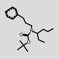 CCCC(CC)N(CCCc1ccccc1)C(=O)OC(C)(C)C